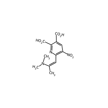 CC(=Cc1nc(C(=O)O)c(C(=O)O)cc1[N+](=O)[O-])N(C)C